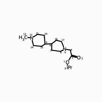 CC(C)OC(=O)CN1CCC(C2CCN(C)CC2)CC1